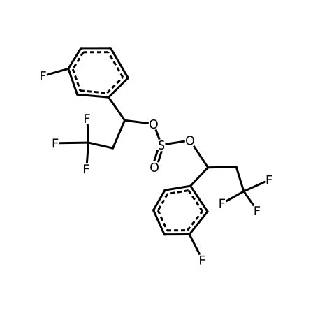 O=S(OC(CC(F)(F)F)c1cccc(F)c1)OC(CC(F)(F)F)c1cccc(F)c1